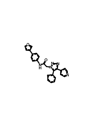 O=C(Cn1nnc(-c2ccncc2)c1-c1ccccc1)Nc1ccc(-c2ccoc2)cc1